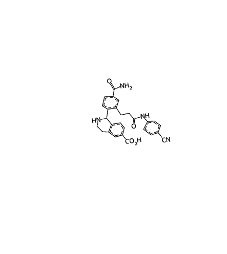 N#Cc1ccc(NC(=O)CCc2cc(C(N)=O)ccc2C2NCCc3cc(C(=O)O)ccc32)cc1